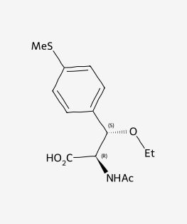 CCO[C@@H](c1ccc(SC)cc1)[C@@H](NC(C)=O)C(=O)O